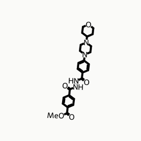 COC(=O)c1ccc(C(=O)NNC(=O)c2ccc(N3CCN(C4CCOCC4)CC3)cc2)cc1